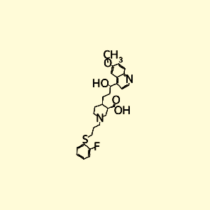 COc1ccc2nccc([C@@H](O)CC[C@@H]3CCN(CCCSc4ccccc4F)C[C@@H]3C(=O)O)c2c1